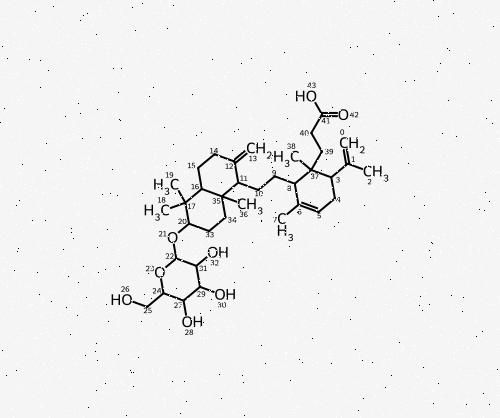 C=C(C)C1CC=C(C)C(CCC2C(=C)CCC3C(C)(C)C(OC4OC(CO)C(O)C(O)C4O)CCC23C)C1(C)CCC(=O)O